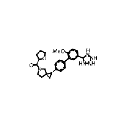 COc1ccc(C2NNNN2)cc1-c1ccc([C@H]2C[C@]23CCN(C(=O)[C@H]2CCCO2)C3)cc1